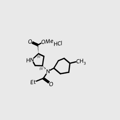 CCC(=O)N(C1CCC(C)CC1)[C@@H]1CN[C@H](C(=O)OC)C1.Cl